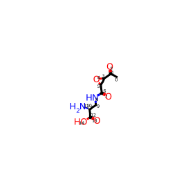 CC(=O)C1OC1C(=O)NC[C@H](N)C(=O)O